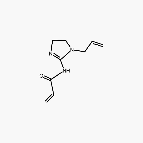 C=CCN1CCN=C1NC(=O)C=C